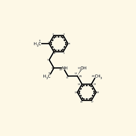 Cc1ccccc1CC(C)NC[C@H](O)c1ccccc1C